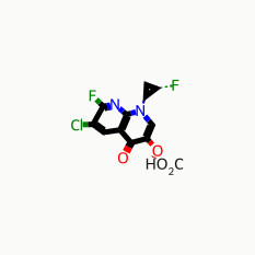 O=C(O)Oc1cn([C@@H]2C[C@@H]2F)c2nc(F)c(Cl)cc2c1=O